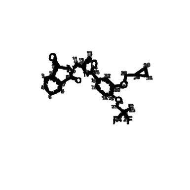 O=C1c2ccccc2C(=O)N1Cc1coc(-c2ccc(OCC(F)(F)F)c(OCC3CC3)c2)n1